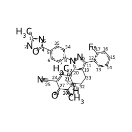 Cc1noc(-c2ccc(-n3nc(-c4ccccc4F)c4c3[C@]3(C)C=C(C#N)C(=O)[C@H](C)[C@H]3CC4)cc2)n1